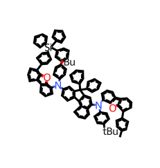 Cc1ccc(-c2cccc3c2oc2c(N(c4ccc(C(C)(C)C)cc4)c4cc5c(c6ccccc46)-c4ccc(N(c6ccc(C(C)(C)C)cc6)c6cccc7c6oc6c(-c8ccc([Si](c9ccccc9)(c9ccccc9)c9ccccc9)cc8)cccc67)cc4C5(c4ccccc4)c4ccccc4)cccc23)cc1